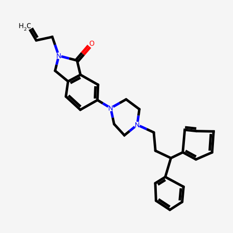 C=CCN1Cc2ccc(N3CCN(CCC(c4ccccc4)c4ccccc4)CC3)cc2C1=O